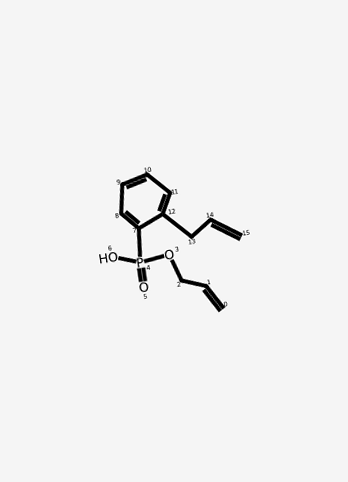 C=CCOP(=O)(O)c1ccccc1CC=C